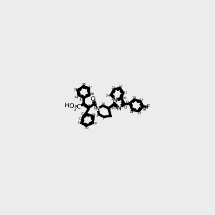 O=C(O)C(=C(C(=O)N1CCCC(c2nc(-c3ccc(F)cc3)c3ccccn23)C1)c1ccccc1)c1ccccc1